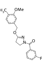 COc1cc(COC2=NN(C(=O)c3cccc(F)c3)CC2)ccc1C